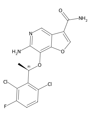 C[C@@H](Oc1c(N)ncc2c(C(N)=O)coc12)c1c(Cl)ccc(F)c1Cl